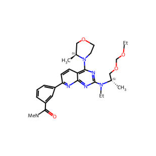 CCOCOC[C@H](C)N(CC)c1nc(N2CCOC[C@@H]2C)c2ccc(-c3cccc(C(=O)NC)c3)nc2n1